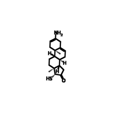 C[C@]12CC[C@H]3[C@@H](CC=C4CC(N)=CC[C@@]43C)[C@@H]1CC(=O)[C@@H]2S